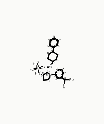 CS(=O)(=O)N[C@H]1CCN(c2cc(C(F)F)ccn2)[C@H]1COC1CCC(c2ccccc2)CC1